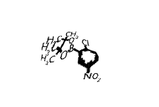 CC1(C)OB(c2cc([N+](=O)[O-])ccc2Cl)OC1(C)C